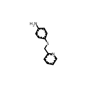 Nc1ccc(SCc2ccccn2)cc1